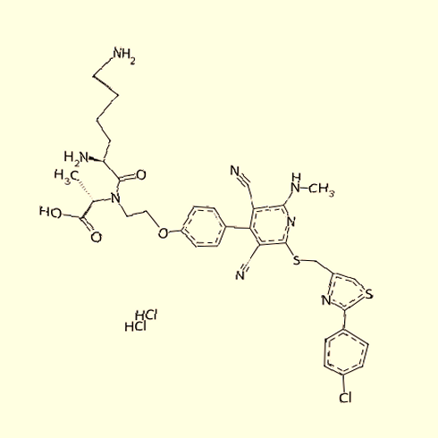 CNc1nc(SCc2csc(-c3ccc(Cl)cc3)n2)c(C#N)c(-c2ccc(OCCN(C(=O)[C@@H](N)CCCCN)[C@@H](C)C(=O)O)cc2)c1C#N.Cl.Cl